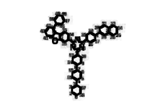 c1ccc(-c2ccc(-c3ccc(-c4nc(-c5ccc(-c6ccc7ccccc7c6)cc5)nc(-c5ccc6c(c5)oc5cccc(-c7ccccc7)c56)n4)cc3)cc2)cc1